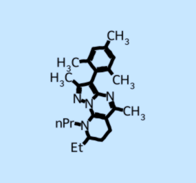 CCCN1c2c(c(C)nc3c(-c4c(C)cc(C)cc4C)c(C)nn23)CCC1CC